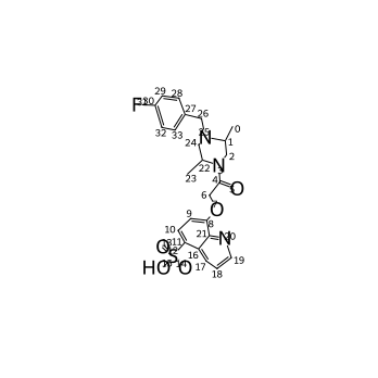 CC1CN(C(=O)COc2ccc(S(=O)(=O)O)c3cccnc23)C(C)CN1Cc1ccc(F)cc1